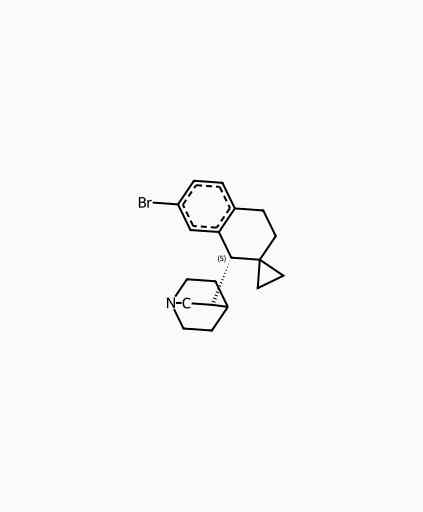 Brc1ccc2c(c1)[C@@H](C1CN3CCC1CC3)C1(CC2)CC1